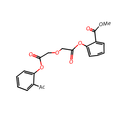 COC(=O)c1ccccc1OC(=O)COCC(=O)Oc1ccccc1C(C)=O